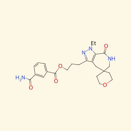 CCn1nc(CCCOC(=O)c2cccc(C(N)=O)c2)c2c1C(=O)NCC1(CCOCC1)C2